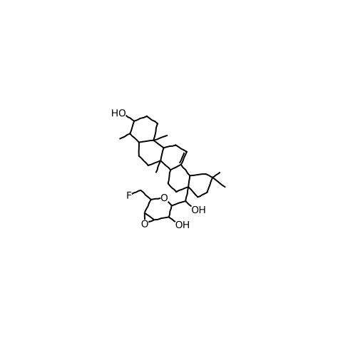 CC1C(O)CCC2(C)C1CCC1(C)C3CCC4(C(O)C5OC(CF)C6OC6C5O)CCC(C)(C)CC4C3=CCC12